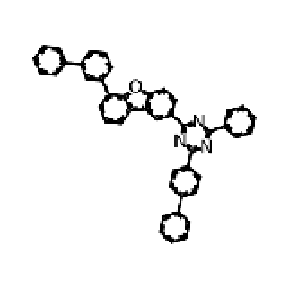 c1ccc(-c2ccc(-c3nc(-c4ccccc4)nc(-c4ccc5oc6c(-c7cccc(-c8ccccc8)c7)cccc6c5c4)n3)cc2)cc1